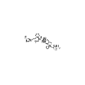 Cn1c(-c2cc3cccc(/C=C/Cn4cnc(F)c4)c3n2CC2CC2)nc2cc3c(nc21)CCN(C[C@H](N)CF)C3=O